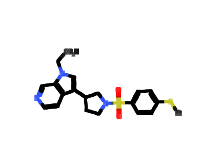 CCSc1ccc(S(=O)(=O)N2CCC(c3cn(CC(=O)O)c4cnccc34)C2)cc1